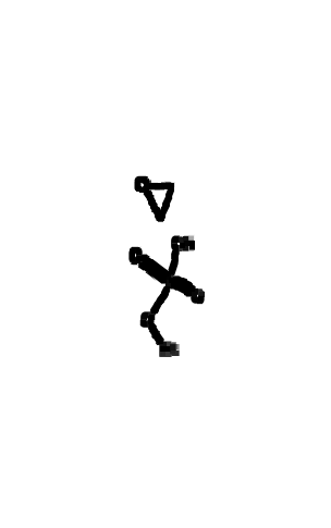 C1CO1.CCOS(=O)(=O)O